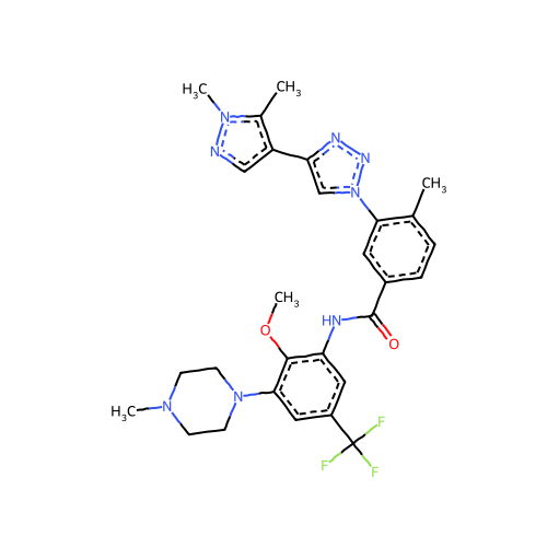 COc1c(NC(=O)c2ccc(C)c(-n3cc(-c4cnn(C)c4C)nn3)c2)cc(C(F)(F)F)cc1N1CCN(C)CC1